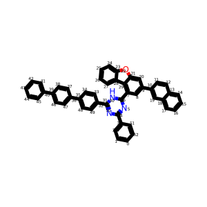 c1ccc(C2=NC(c3cc(-c4ccc5ccccc5c4)cc4oc5ccccc5c34)NC(c3ccc(-c4ccc(-c5ccccc5)cc4)cc3)=N2)cc1